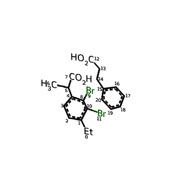 CCc1ccc(C(C)C(=O)O)c(Br)c1Br.O=C(O)CCc1ccccc1